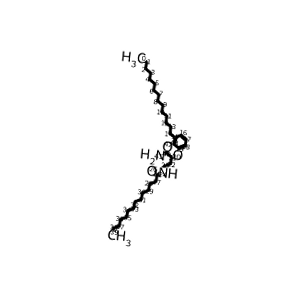 CCCCCCCCCCCCCCCc1cccc(OC(CCNC(=O)CCCCCCCCCCCCC)C(N)=O)c1